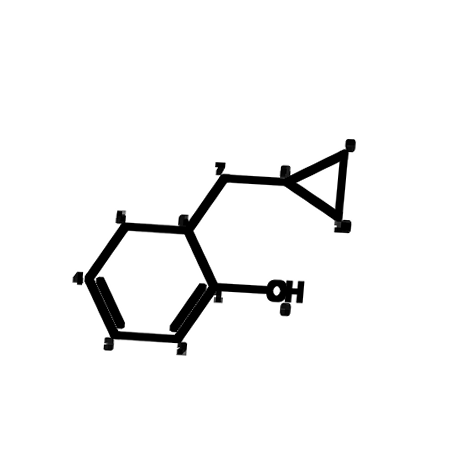 OC1=CC=CCC1CC1CC1